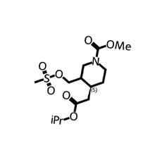 COC(=O)N1CC[C@@H](CC(=O)OC(C)C)C(COS(C)(=O)=O)C1